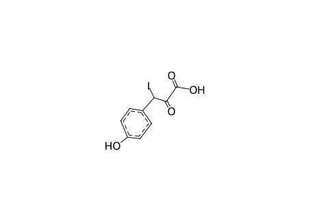 O=C(O)C(=O)C(I)c1ccc(O)cc1